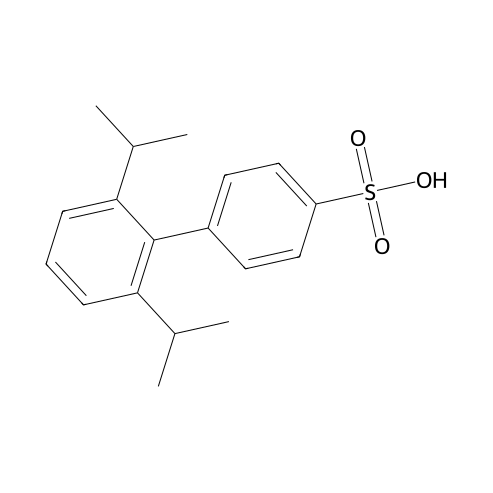 CC(C)c1cccc(C(C)C)c1-c1ccc(S(=O)(=O)O)cc1